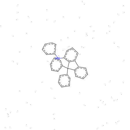 c1ccc(Nc2cccc3c2C(c2ccccc2)(c2ccccc2)c2ccccc2-3)cc1